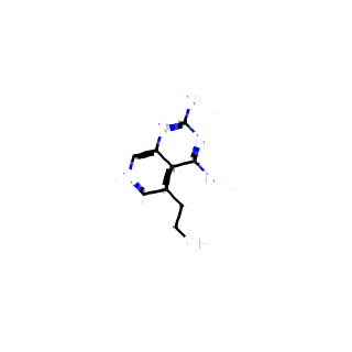 CCCc1cncc2nc(N)nc(N)c12